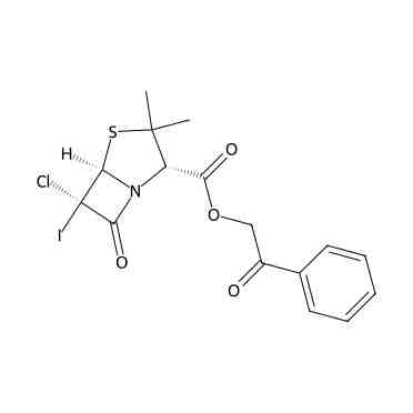 CC1(C)S[C@H]2N(C(=O)[C@@]2(Cl)I)[C@H]1C(=O)OCC(=O)c1ccccc1